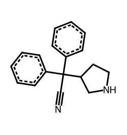 N#CC(c1ccccc1)(c1ccccc1)C1CCNC1